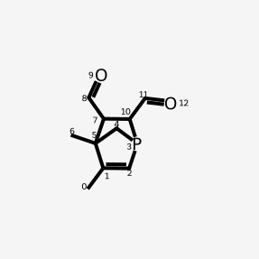 CC1=CP2CC1(C)C(C=O)C2C=O